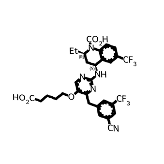 CC[C@@H]1C[C@H](Nc2ncc(OCCCCC(=O)O)c(Cc3cc(C#N)cc(C(F)(F)F)c3)n2)c2cc(C(F)(F)F)ccc2N1C(=O)O